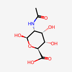 CC(=O)N[C@@H]1[C@H](O)[C@H](O)[C@@H](C(=O)O)O[C@H]1O